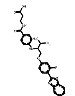 CC(C)C(COc1ccc(-c2nc3ccccc3s2)c(F)c1)Nc1ccc(C(=O)NCCC(=O)O)cc1